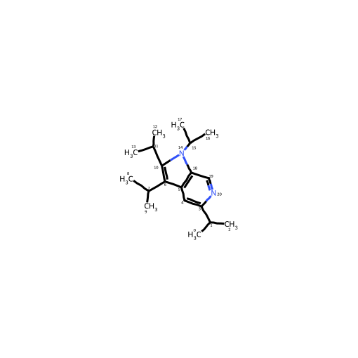 CC(C)c1cc2c(C(C)C)c(C(C)C)n(C(C)C)c2cn1